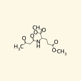 COC(=O)CCC(NC(=O)CC(C)=O)C(=O)OC